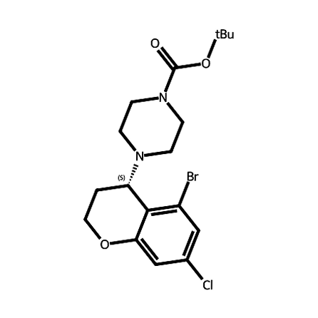 CC(C)(C)OC(=O)N1CCN([C@H]2CCOc3cc(Cl)cc(Br)c32)CC1